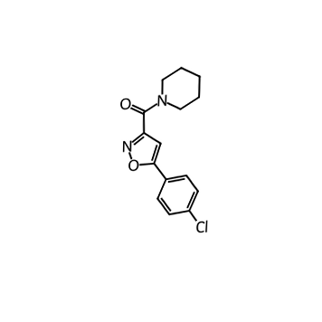 O=C(c1cc(-c2ccc(Cl)cc2)on1)N1CCCCC1